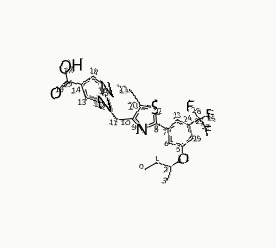 CCC(C)Oc1cc(-c2nc(Cn3cc(C(=O)O)cn3)c(C)s2)cc(C(F)(F)F)c1